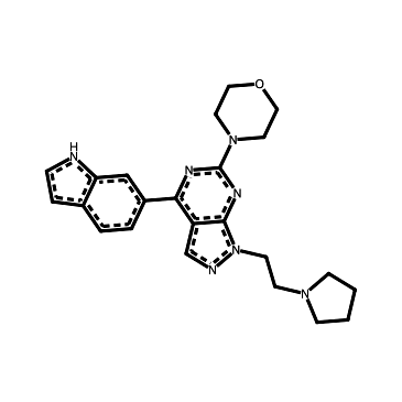 c1cc2ccc(-c3nc(N4CCOCC4)nc4c3cnn4CCN3CCCC3)cc2[nH]1